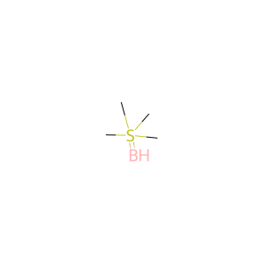 B=S(C)(C)(C)C